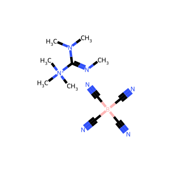 C/N=C(\N(C)C)[N+](C)(C)C.N#C[B-](C#N)(C#N)C#N